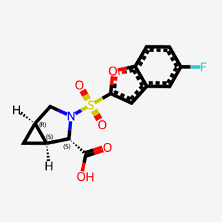 O=C(O)[C@@H]1[C@H]2C[C@H]2CN1S(=O)(=O)c1cc2cc(F)ccc2o1